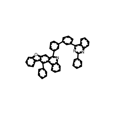 c1ccc(-c2nc(-c3cccc(-c4cccc(-c5nc6ccccc6c6c(-c7ccccc7)c7c(cc56)oc5ccccc57)c4)c3)c3ccccc3n2)cc1